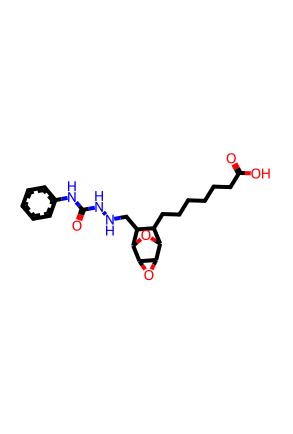 O=C(O)CCCCCCC1C(CNNC(=O)Nc2ccccc2)C2OC1C1OC21